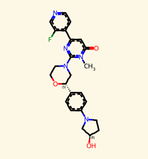 Cn1c(N2CCO[C@@H](c3ccc(N4CC[C@@H](O)C4)cc3)C2)nc(-c2ccncc2F)cc1=O